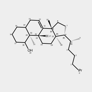 CC(C)CCC[C@@H](C)[C@H]1CC[C@@]2(C)C3=CCC4CCCC(O)[C@]4(C)[C@H]3CC[C@]12C